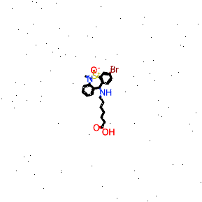 CN1c2ccccc2C(NCCCCCCC(=O)O)c2ccc(Br)cc2[S+]1[O-]